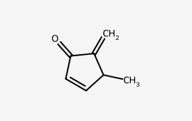 C=C1C(=O)C=CC1C